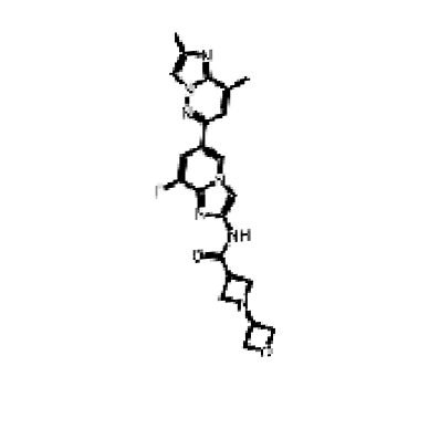 Cc1cn2nc(-c3cc(F)c4nc(NC(=O)C5CN(C6COC6)C5)cn4c3)cc(C)c2n1